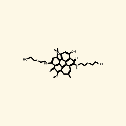 COc1c2c3c4c(c(NCCOCCO)c(=O)c5c(O)cc(OC)c(c6c(OC)cc(NCCOCCO)c(c1=O)c63)c54)C=C(C)C2